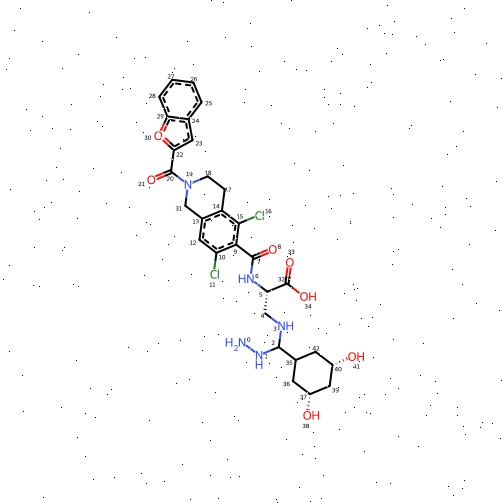 NNC(NC[C@H](NC(=O)c1c(Cl)cc2c(c1Cl)CCN(C(=O)c1cc3ccccc3o1)C2)C(=O)O)C1C[C@@H](O)C[C@@H](O)C1